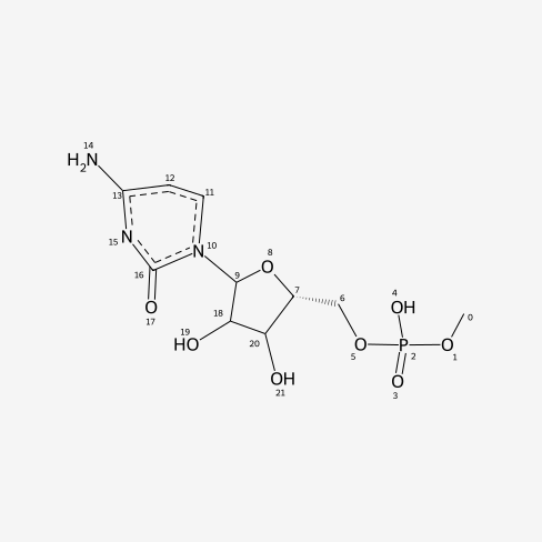 COP(=O)(O)OC[C@H]1OC(n2ccc(N)nc2=O)C(O)C1O